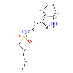 CCCCCS(=O)(=O)NCCc1c[nH]c2ccccc12